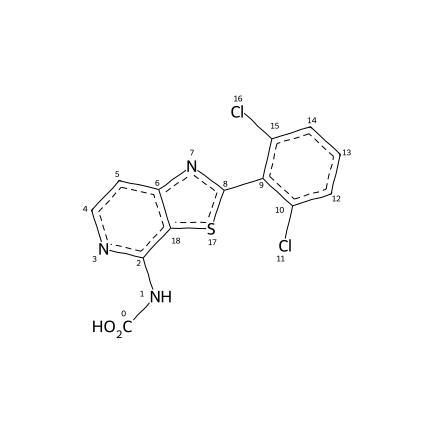 O=C(O)Nc1nccc2nc(-c3c(Cl)cccc3Cl)sc12